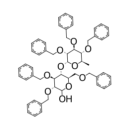 C[C@H]1O[C@H](O[C@H]2[C@H](OCc3ccccc3)[C@@H](OCc3ccccc3)C(O)O[C@@H]2COCc2ccccc2)[C@H](OCc2ccccc2)[C@@H](OCc2ccccc2)[C@@H]1OCc1ccccc1